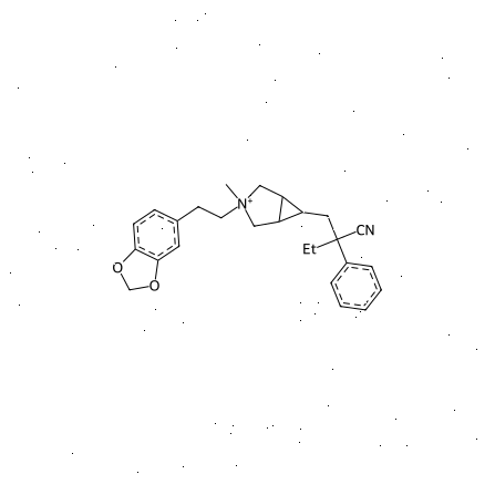 CCC(C#N)(CC1C2C[N+](C)(CCc3ccc4c(c3)OCO4)CC12)c1ccccc1